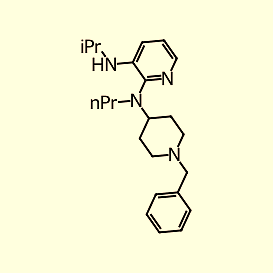 CCCN(c1ncccc1NC(C)C)C1CCN(Cc2ccccc2)CC1